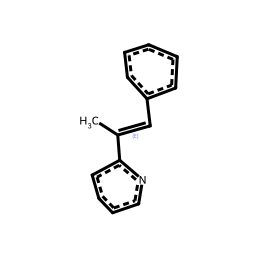 C/C(=C\c1ccccc1)c1ccccn1